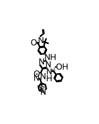 C=CCN1C(=O)c2ccc(Nc3ncc(-c4nc(C56CCN(CC5)CC6)no4)c(N[C@H](CO)c4ccccc4)n3)cc2C1(C)C